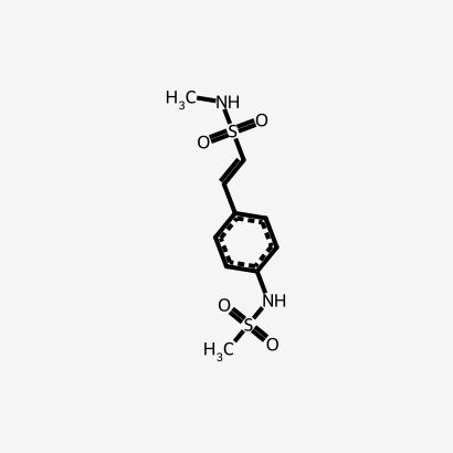 CNS(=O)(=O)C=Cc1ccc(NS(C)(=O)=O)cc1